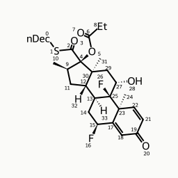 [CH2]CCCCCCCCCSC(=O)[C@@]1(OC(=O)CC)[C@H](C)C[C@H]2[C@@H]3C[C@H](F)C4=CC(=O)C=C[C@]4(C)[C@@]3(F)[C@@H](O)C[C@@]21C